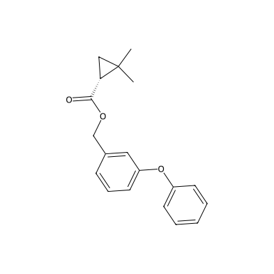 CC1(C)C[C@H]1C(=O)OCc1cccc(Oc2ccccc2)c1